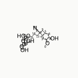 COc1cc2c(cc1O)CC2(C#N)CCCO[PH](O)(O)OOOO